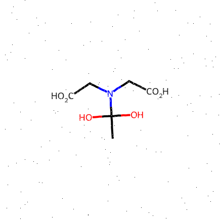 CC(O)(O)N(CC(=O)O)CC(=O)O